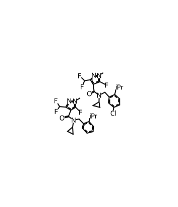 CC(C)c1ccc(Cl)cc1CN(C(=O)c1c(C(F)F)nn(C)c1F)C1CC1.CC(C)c1ccccc1CN(C(=O)c1c(C(F)F)nn(C)c1F)C1CC1